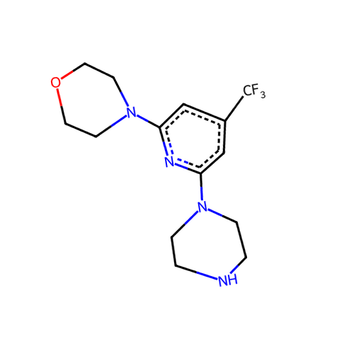 FC(F)(F)c1cc(N2CCNCC2)nc(N2CCOCC2)c1